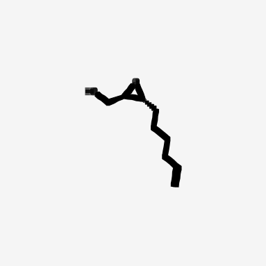 C=CCCCC[C@H]1O[C@@H]1CO